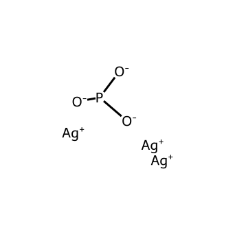 [Ag+].[Ag+].[Ag+].[O-]P([O-])[O-]